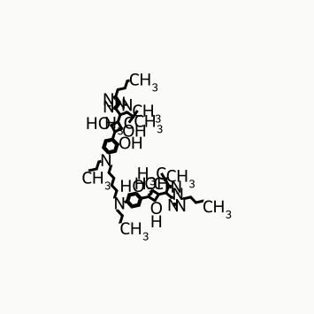 CCCCc1nnc2n1N=C(C(C)(C)C)C2C1C(O)C(c2ccc(N(CCCC)CCCCCCN(CCCC)c3ccc(C4C(O)C(C5C(C(C)(C)C)=Nn6c(CCCC)nnc65)C4O)c(O)c3)cc2O)C1O